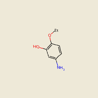 [CH2]COc1ccc(N)cc1O